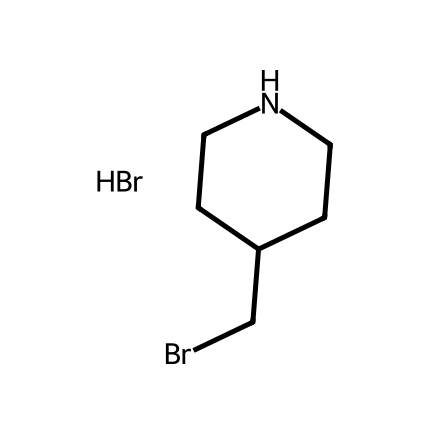 Br.BrCC1CCNCC1